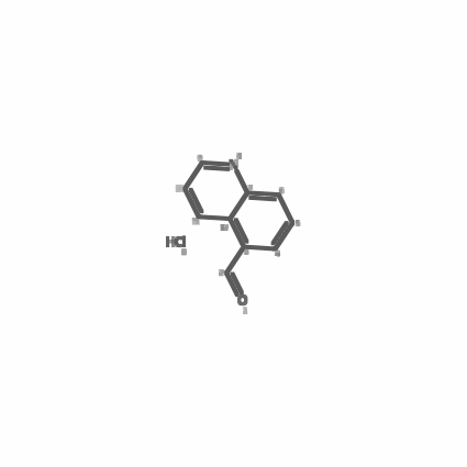 Cl.O=Cc1cccc2ncccc12